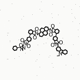 CCn1c2ccccc2c2cc(N3C(=O)c4ccc(-c5cccc6c5C(=O)N(c5ccc7ccc8c(N9C(=O)c%10cccc(-c%11ccc%12c(c%11)C(=O)N(c%11nnc(-c%13ccccc%13)o%11)C%12=O)c%10C9=O)ccc9ccc5c7c98)C6=O)cc4C3=O)ccc21